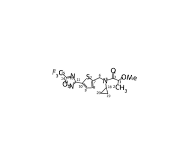 COC(C)C(=O)N(Cc1ccc(-c2noc(C(F)(F)F)n2)s1)C1CC1